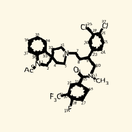 CC(=O)N1CC2(CCN(CCC(CN(C)C(=O)c3ccc(F)c(C(F)(F)F)c3)c3ccc(Cl)c(Cl)c3)CC2)c2ccccc21